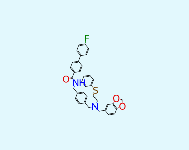 O=C(NCc1ccc(CN(CCSc2ccccc2)Cc2ccc3c(c2)OCO3)cc1)c1ccc(-c2ccc(F)cc2)cc1